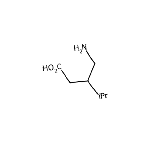 CC(C)C(CN)CC(=O)O